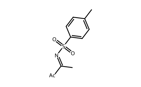 CC(=O)C(C)=NS(=O)(=O)c1ccc(C)cc1